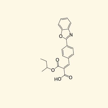 CCC(C)OC(=O)C(=Cc1ccc(-c2nc3ccccc3o2)cc1)C(=O)O